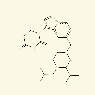 CC(C)CN1CCN(Cc2ccn3ncc(N4CCC(=O)NC4=O)c3c2)CC1C(C)C